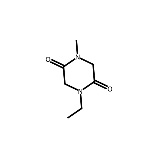 CCN1CC(=O)N(C)CC1=O